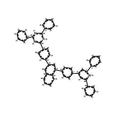 c1ccc(-c2cc(-c3ccc(-c4cc(-c5ccc(-c6nc(-c7ccccc7)nc(-c7ccccc7)n6)cc5)cc5ccccc45)cc3)cc(-c3ccccc3)n2)cc1